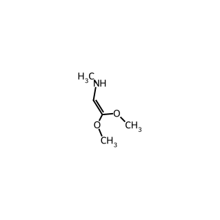 CNC=C(OC)OC